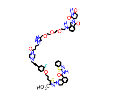 O=C1CCC(N2Cc3c(NCCOCCOCCOCc4cn(CCCC(=O)N5CCN(CC#Cc6ccc(OCCCc7sc(N8CCc9cccc(C(=O)Nc%10nc%11ccccc%11s%10)c9C8)nc7C(=O)O)c(F)c6)CC5)nn4)cccc3C2=O)C(=O)N1